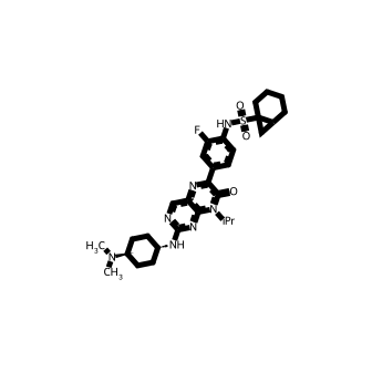 CC(C)n1c(=O)c(-c2ccc(NS(=O)(=O)C34CCCCC3C4)c(F)c2)nc2cnc(N[C@H]3CC[C@H](N(C)C)CC3)nc21